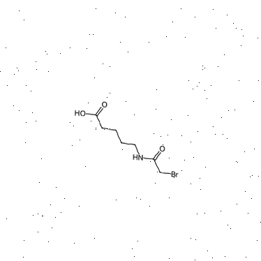 O=C(O)CCCCNC(=O)CBr